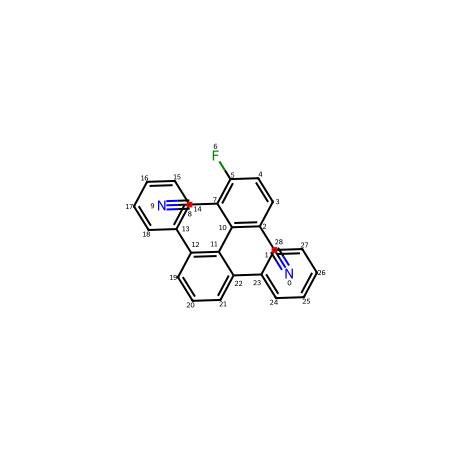 N#Cc1ccc(F)c(C#N)c1-c1c(-c2ccccc2)cccc1-c1ccccc1